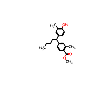 CCCCC(c1ccc(O)c(C)c1)c1ccc(C(=O)OC)c(C)c1